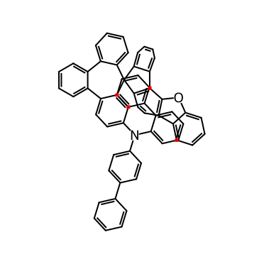 c1ccc(-c2ccc(N(c3ccc4c(c3)C3(c5ccccc5-c5ccccc5-4)c4ccccc4-c4c3ccc3c4oc4ccccc43)c3ccccc3-c3ccccc3)cc2)cc1